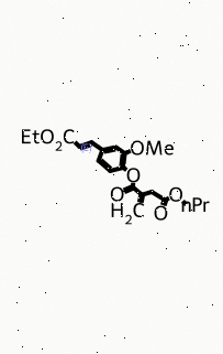 C=C(CC(=O)OCCC)C(=O)Oc1ccc(/C=C/C(=O)OCC)cc1OC